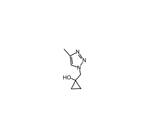 Cc1cn(CC2(O)CC2)nn1